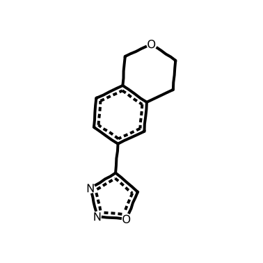 c1cc2c(cc1-c1conn1)CCOC2